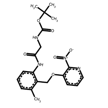 Cc1cccc(NC(=O)CNC(=O)OC(C)(C)C)c1COc1cccnc1[N+](=O)[O-]